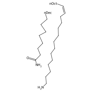 CCCCCCCC/C=C\CCCCCCCCCCCCN.CCCCCCCCCCCCCCCCCC(N)=O